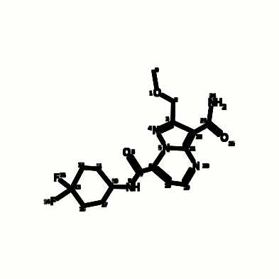 COCc1nn2c(C(=O)NC3CCC(F)(F)CC3)ccnc2c1C(N)=O